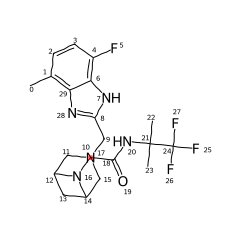 Cc1ccc(F)c2[nH]c(CN3CC4CC(C3)N4CC(=O)NC(C)(C)C(F)(F)F)nc12